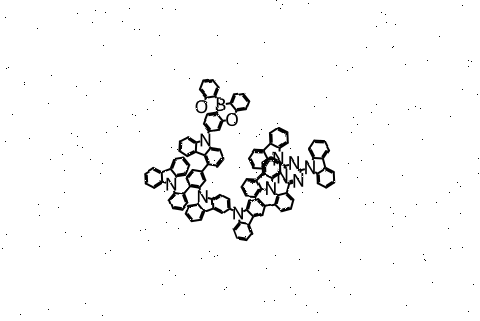 c1ccc2c(c1)Oc1cc(-n3c4ccccc4c4c(-c5ccc(-c6ccccc6-n6c7ccccc7c7ccccc76)c(-n6c7ccccc7c7cc(-n8c9ccccc9c9cc(-c%10cccc(-c%11nc(-n%12c%13ccccc%13c%13ccccc%13%12)nc(-n%12c%13ccccc%13c%13ccccc%13%12)n%11)c%10-n%10c%11ccccc%11c%11ccccc%11%10)ccc98)ccc76)c5)cccc43)cc3c1B2c1ccccc1O3